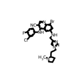 CN1CCCC1CCn1cc(CNc2cc(Br)c3ncc(C#N)c(Nc4ccc(F)c(Cl)c4)c3c2)nn1